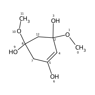 COC1(O)C=C(O)CC(O)(OC)C1